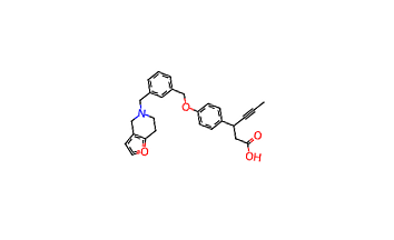 CC#CC(CC(=O)O)c1ccc(OCc2cccc(CN3CCc4occc4C3)c2)cc1